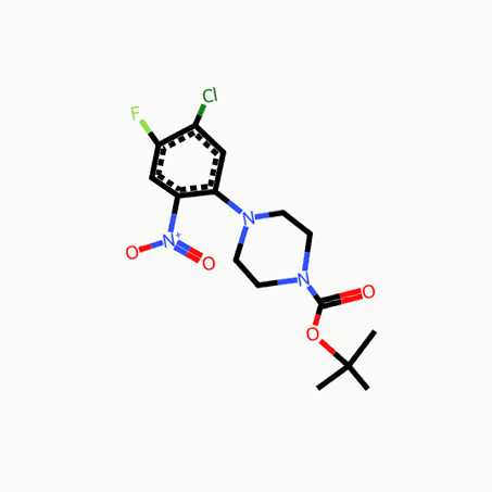 CC(C)(C)OC(=O)N1CCN(c2cc(Cl)c(F)cc2[N+](=O)[O-])CC1